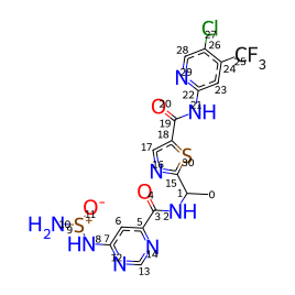 CC(NC(=O)c1cc(N[S+](N)[O-])ncn1)c1ncc(C(=O)Nc2cc(C(F)(F)F)c(Cl)cn2)s1